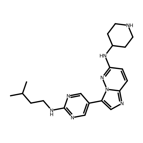 CC(C)CCNc1ncc(-c2cnc3ccc(NC4CCNCC4)nn23)cn1